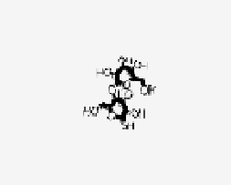 OCC1OC(O[C@@H]2C(CO)OC(S)[C@@H](O)[C@H]2O)[C@@H](O)[C@@H](O)[C@@H]1O